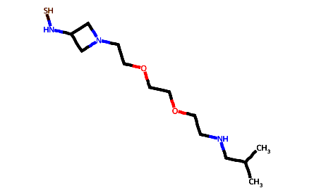 CC(C)CNCCOCCOCCN1CC(NS)C1